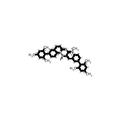 C/N=C(/C=C\c1cc(-c2c(C)cc(C)cc2C)ccc1C)\N=c1\ccc2cc(-c3c(C)cc(C)cc3C)ccc2n1B(F)F